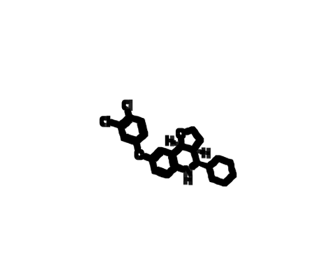 Clc1ccc(Oc2ccc3c(c2)[C@H]2OCC[C@H]2[C@@H](C2CCCCC2)N3)cc1Cl